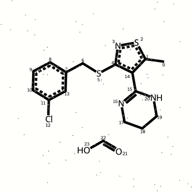 Cc1snc(SCc2cccc(Cl)c2)c1C1=NCCCN1.O=CO